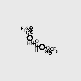 O=C(Nc1ccc(OS(=O)(=O)C(F)(F)F)cc1)Nc1ccc(OS(=O)(=O)C(F)(F)F)cc1